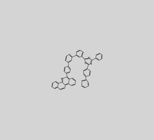 c1ccc(-c2ccc(-c3nc(-c4ccccc4)nc(-c4cccc(-c5cccc(-c6ccc(-c7nc8c9ccccc9ccc8c8ccccc78)cc6)c5)c4)n3)cc2)cc1